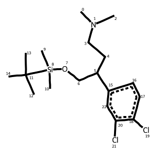 CN(C)CCC(CO[Si](C)(C)C(C)(C)C)c1ccc(Cl)c(Cl)c1